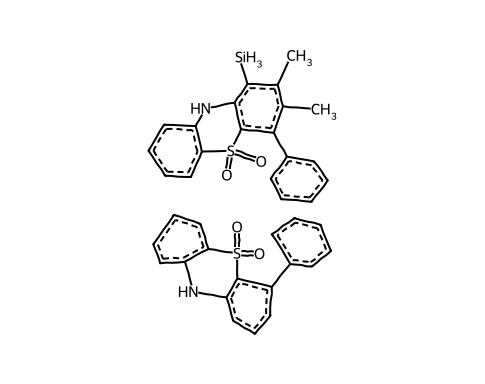 Cc1c(C)c(-c2ccccc2)c2c(c1[SiH3])Nc1ccccc1S2(=O)=O.O=S1(=O)c2ccccc2Nc2cccc(-c3ccccc3)c21